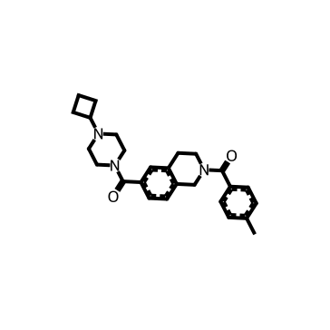 Cc1ccc(C(=O)N2CCc3cc(C(=O)N4CCN(C5CCC5)CC4)ccc3C2)cc1